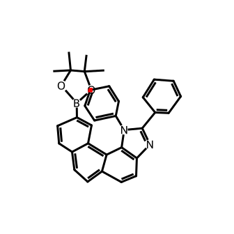 CC1(C)OB(c2ccc3ccc4ccc5nc(-c6ccccc6)n(-c6ccccc6)c5c4c3c2)OC1(C)C